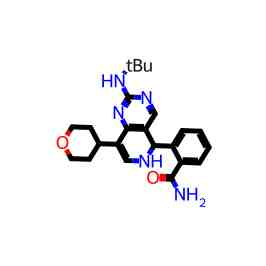 CC(C)(C)Nc1ncc2c(n1)C(C1CCOCC1)=CNC2c1ccccc1C(N)=O